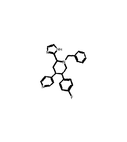 Fc1ccc(C2CN(Cc3ccccc3)C(c3ncc[nH]3)CC2c2ccncc2)cc1